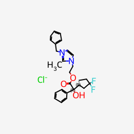 Cc1n(CCOC(=O)[C@](O)(c2ccccc2)[C@@H]2CCC(F)(F)C2)cc[n+]1Cc1ccccc1.[Cl-]